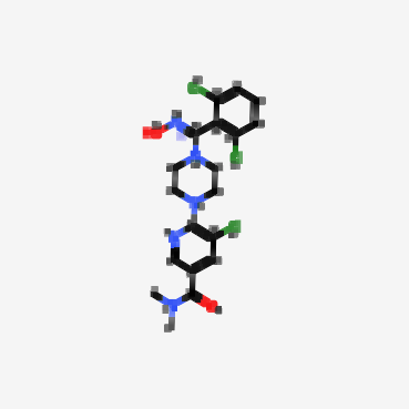 CN(C)C(=O)c1cnc(N2CCN(/C(=N\O)c3c(Cl)cccc3Cl)CC2)c(Cl)c1